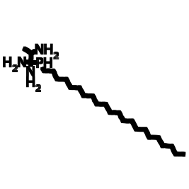 CCCCCCCCCCCCCCCCCCCCCCPC(N)(N)C(C)N